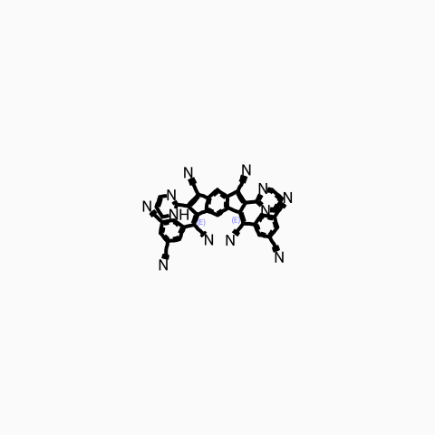 N#CC1=C(C2=NC=CCN2)/C(=C(/C#N)c2cc(C#N)cc(C#N)c2)c2cc3c(cc21)C(C#N)=C(c1ncccn1)/C3=C(/C#N)c1cc(C#N)cc(C#N)c1